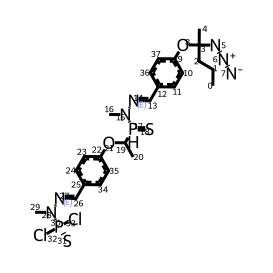 CCCC(C)(N=[N+]=[N-])Oc1ccc(/C=N/N(C)[PH](=S)C(C)Oc2ccc(/C=N/N(C)P(=S)(Cl)Cl)cc2)cc1